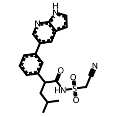 CC(C)CC(C(=O)NS(=O)(=O)CC#N)c1cccc(-c2cnc3[nH]ccc3c2)c1